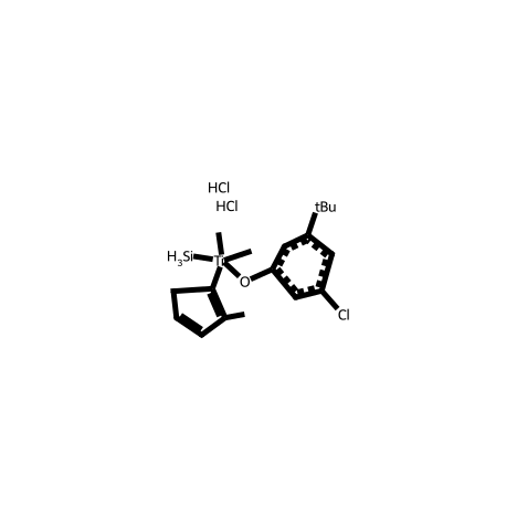 CC1=[C]([Ti]([CH3])([CH3])([SiH3])[O]c2cc(Cl)cc(C(C)(C)C)c2)CC=C1.Cl.Cl